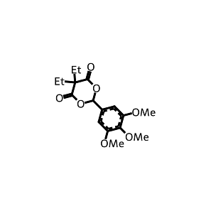 CCC1(CC)C(=O)OC(c2cc(OC)c(OC)c(OC)c2)OC1=O